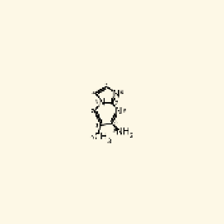 Cc1cn2ccnc2nc1N